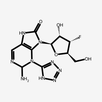 NC1N=Cc2[nH]c(=O)n([C@@H]3O[C@H](CO)[C@@H](F)[C@H]3O)c2N1c1nnn[nH]1